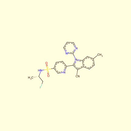 Cc1ccc2c(C#N)c(-c3ccc(S(=O)(=O)N[C@@H](C)CF)cn3)n(-c3ncccn3)c2c1